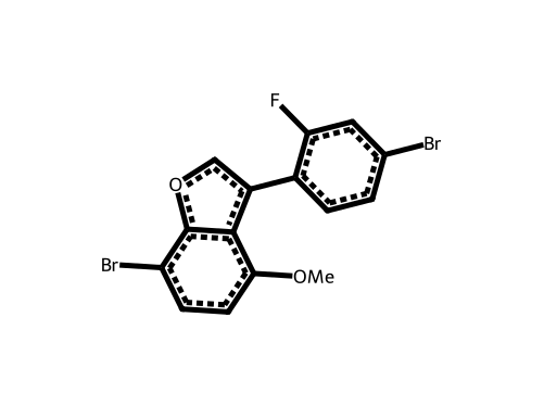 COc1ccc(Br)c2occ(-c3ccc(Br)cc3F)c12